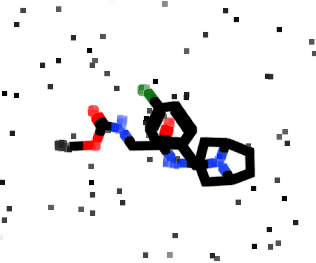 CC(C)(C)OC(=O)NCC(=O)NC1CC2CCC(C1)N2Cc1ccc(Cl)cc1